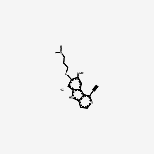 C#Cc1nccc2[nH]c3cc(OCCCN(C)C)c(OC)cc3c12.Cl